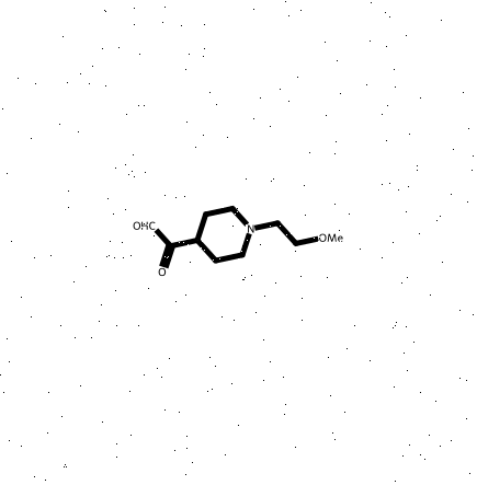 COCCN1CCC(C(=O)C=O)CC1